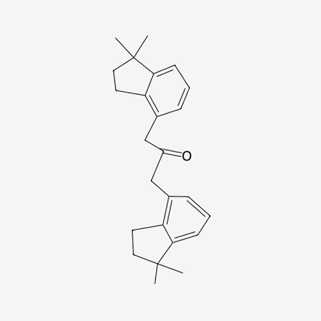 CC1(C)CCc2c(CC(=O)Cc3cccc4c3CCC4(C)C)cccc21